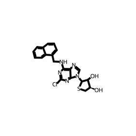 OC1C(n2cnc3c(NCc4cccc5ccccc45)nc(Cl)nc32)SC[C@@H]1O